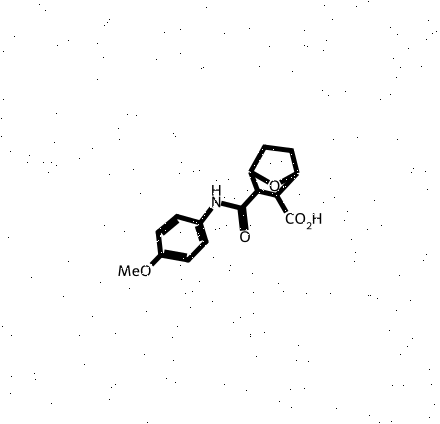 COc1ccc(NC(=O)C2C3CCC(O3)C2C(=O)O)cc1